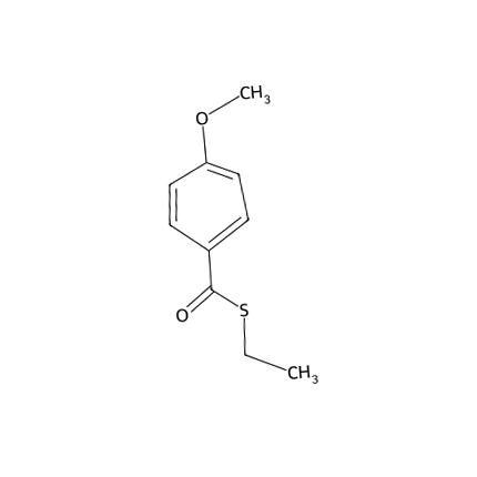 CCSC(=O)c1ccc(OC)cc1